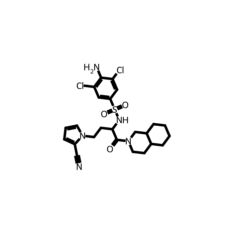 N#Cc1cccn1CCC(NS(=O)(=O)c1cc(Cl)c(N)c(Cl)c1)C(=O)N1CCC2CCCCC2C1